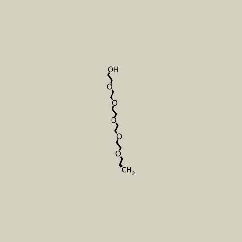 C=CCOCCOCCOCCOCCOCCO